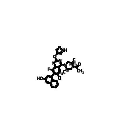 CC(=O)N1C[C@H](C)N(c2nc(Oc3cn[nH]c3)nc3c(F)c(-c4cc(O)cc5ccccc45)c(Cl)cc23)C[C@H]1C